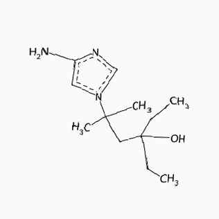 CCC(O)(CC)CC(C)(C)n1cnc(N)c1